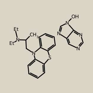 CCN(CC)C(C)CN1c2ccccc2Sc2ccccc21.On1cnc2cncnc21